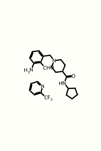 FC(F)(F)c1ccccn1.Nc1cccc(CN2CCC(C(=O)NC3CCCC3)CC2)c1C=O